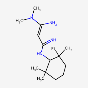 CCC1(C)CCCC(C)(C)C1NC(=N)/C=C(\N)N(C)C